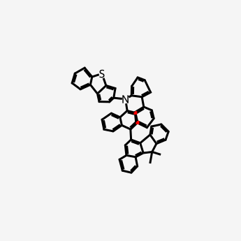 CC1(C)c2ccccc2-c2c(-c3ccc(N(c4ccc5c(c4)sc4ccccc45)c4ccccc4-c4ccccc4)c4ccccc34)cc3ccccc3c21